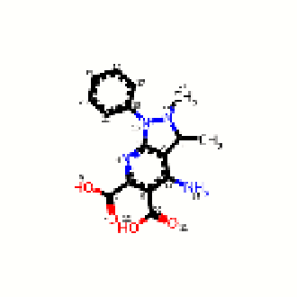 CC1c2c(nc(C(=O)O)c(C(=O)O)c2N)N(c2ccccc2)N1C